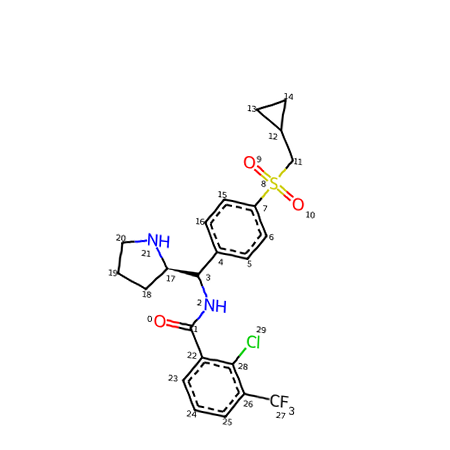 O=C(NC(c1ccc(S(=O)(=O)CC2CC2)cc1)[C@H]1CCCN1)c1cccc(C(F)(F)F)c1Cl